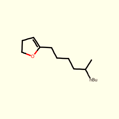 CCCCC(C)CCCCC1=CCCO1